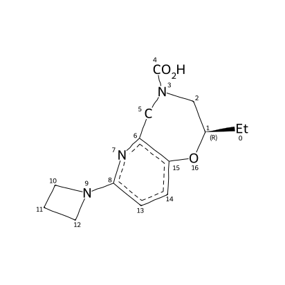 CC[C@@H]1CN(C(=O)O)Cc2nc(N3CCC3)ccc2O1